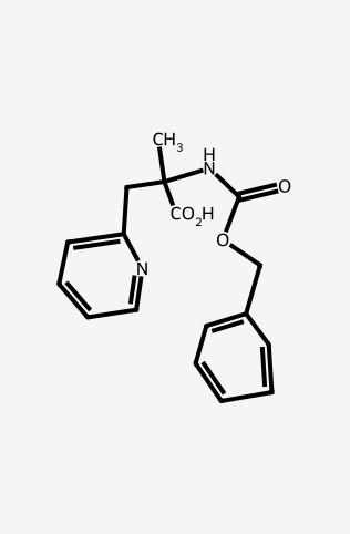 CC(Cc1ccccn1)(NC(=O)OCc1ccccc1)C(=O)O